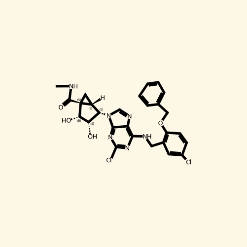 CNC(=O)[C@@]12C[C@@H]1[C@H](n1cnc3c(NCc4cc(Cl)ccc4OCc4ccccc4)nc(Cl)nc31)[C@H](O)[C@@H]2O